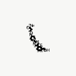 CN(C)C(=O)CCON=C1CCN(c2ncc(-c3cccc(CO)c3F)cn2)CC1